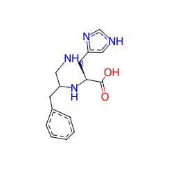 NCC(Cc1ccccc1)N[C@@H](Cc1c[nH]cn1)C(=O)O